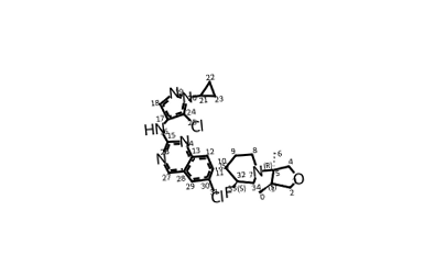 C[C@@H]1COC[C@]1(C)N1CC[C@@H](c2cc3nc(Nc4cnn(C5CC5)c4Cl)ncc3cc2Cl)[C@H](F)C1